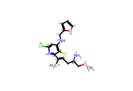 COC[C@H](N)Cc1sc2c(NCc3ccco3)cc(Cl)nc2c1C